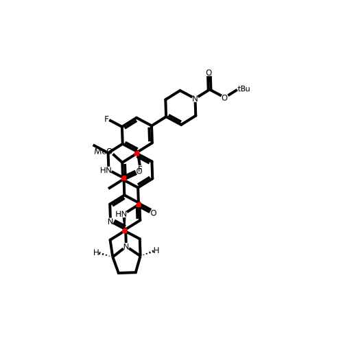 COc1cccc(C(=O)N[C@H]2C[C@H]3CC[C@@H](C2)N3c2ccc(C(=O)NC(C)c3c(F)cc(C4=CCN(C(=O)OC(C)(C)C)CC4)cc3F)cn2)c1C